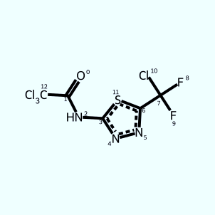 O=C(Nc1nnc(C(F)(F)Cl)s1)C(Cl)(Cl)Cl